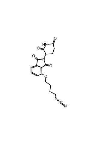 [N-]=[N+]=NCCCCOc1cccc2c1C(=O)N(C1CCC(=O)NC1=O)C2=O